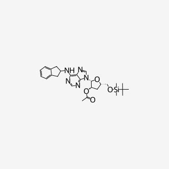 CC(=O)O[C@@H]1C[C@@H](CO[Si](C)(C)C(C)(C)C)O[C@H]1n1cnc2c(NC3Cc4ccccc4C3)ncnc21